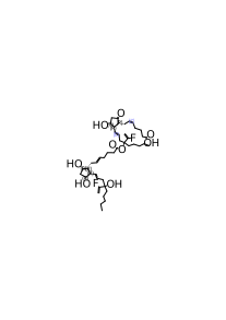 C=C(F)C(O)(CC=C[C@@H]1[C@@H](CC=CCCCC(=O)OC(C/C=C/[C@H]2[C@H](O)CC(=O)[C@@H]2C/C=C\CCCC(=O)O)(CCCCC)C(=C)F)[C@H](O)C[C@H]1O)CCCCC